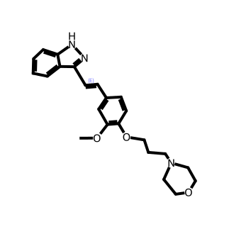 COc1cc(/C=C/c2n[nH]c3ccccc23)ccc1OCCCN1CCOCC1